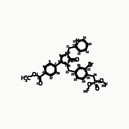 COC(=O)c1ccc(-c2cn(Cc3ccccn3)c(=O)n2Cc2ccc(CP(=O)(OF)OF)c(Br)c2)cc1